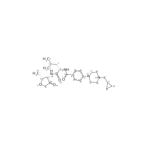 CC(C)C[C@H](NC(=O)c1ccc(N2CCN(CC3CC3)CC2)cc1)C(=O)N[C@@H]1C(=O)CO[C@@H]1C